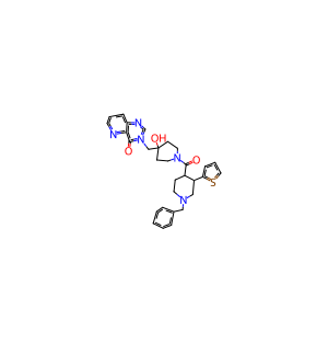 O=C(C1CCN(Cc2ccccc2)CC1c1cccs1)N1CCC(O)(Cn2cnc3cccnc3c2=O)CC1